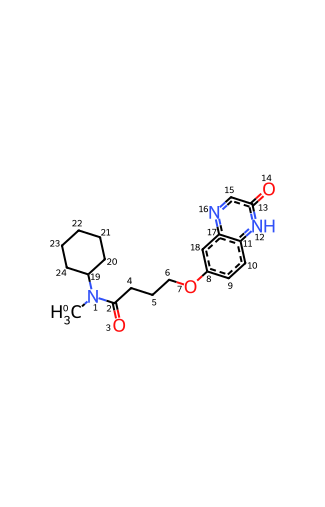 CN(C(=O)CCCOc1ccc2[nH]c(=O)cnc2c1)C1CCCCC1